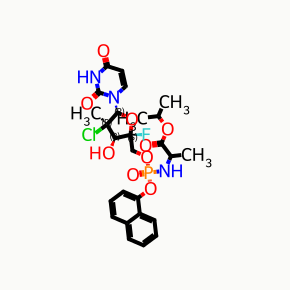 CC(C)OC(=O)C(C)NP(=O)(OC[C@@]1(F)O[C@@H](n2ccc(=O)[nH]c2=O)[C@](C)(Cl)[C@@H]1O)Oc1cccc2ccccc12